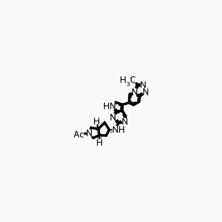 CC(=O)N1C[C@H]2C[C@@H](Nc3ncc4c(-c5ccc6nnc(C)n6c5)c[nH]c4n3)C[C@H]2C1